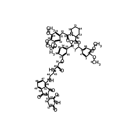 COc1ccc(CC[C@@H](OC(=O)[C@@H]2CCCCN2C(=O)Cc2cc(OC)c(OC)c(OC)c2)c2cccc(OCC(=O)NCCNc3cccc4c3C(=O)N(C3CCC(=O)NC3=O)C4=O)c2)cc1OC